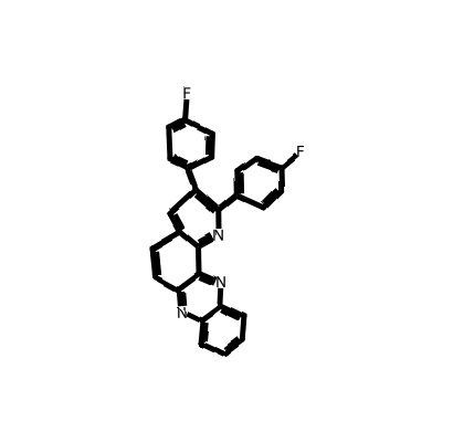 Fc1ccc(-c2cc3ccc4nc5ccccc5nc4c3nc2-c2ccc(F)cc2)cc1